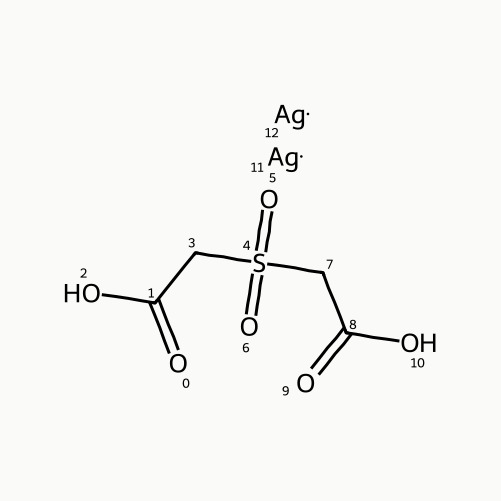 O=C(O)CS(=O)(=O)CC(=O)O.[Ag].[Ag]